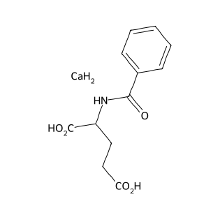 O=C(O)CCC(NC(=O)c1ccccc1)C(=O)O.[CaH2]